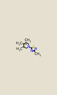 Cc1nsc(N2C[C@@H](C)[C@@H](C)[C@@H](C)C2)n1